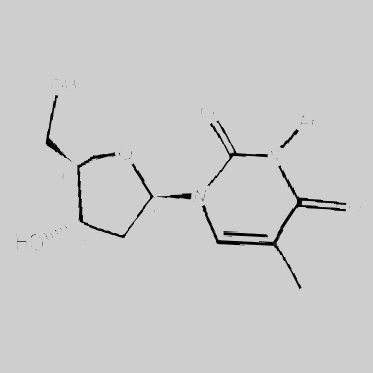 CC(=O)n1c(=O)c(C)cn([C@H]2C[C@H](O)[C@@H](CO)O2)c1=O